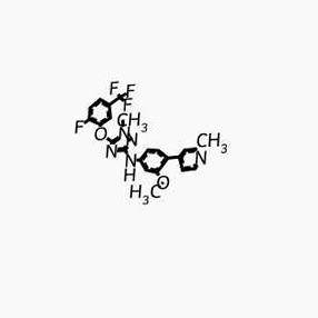 COc1cc(Nc2nc(Oc3cc(C(F)(F)F)ccc3F)n(C)n2)ccc1-c1ccnc(C)c1